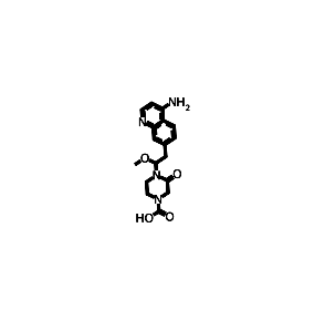 COC(Cc1ccc2c(N)ccnc2c1)N1CCN(C(=O)O)CC1=O